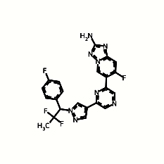 CC(F)(F)C(c1ccc(F)cc1)n1cc(-c2cncc(-c3cn4nc(N)nc4cc3F)n2)cn1